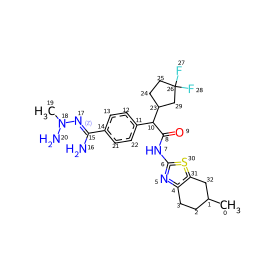 CC1CCc2nc(NC(=O)C(c3ccc(/C(N)=N/N(C)N)cc3)C3CCC(F)(F)C3)sc2C1